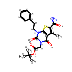 Cc1c(C(N)=O)sc2c1c(=O)n(CC(=O)OC(C)(C)C)c(=O)n2CCc1ccccc1